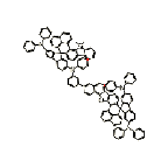 C[Si]1(C)c2ccccc2-c2ccc3c(c21)-c1cccc2cccc(c12)C31c2cc(N(c3ccccc3)c3ccccc3)ccc2-c2ccc(N(c3ccccc3)c3cccc(-c4ccc5c(ccc6c7ccc8c(c7oc56)-c5cccc6cccc(c56)C85c6cc(N(c7ccccc7)c7ccccc7)ccc6-c6ccc(N(c7ccccc7)c7ccccc7)cc65)c4)c3)cc21